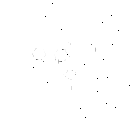 Cc1csc(-c2nc(NC3CCC(F)(F)CC3)cc(-c3ccccn3)n2)n1